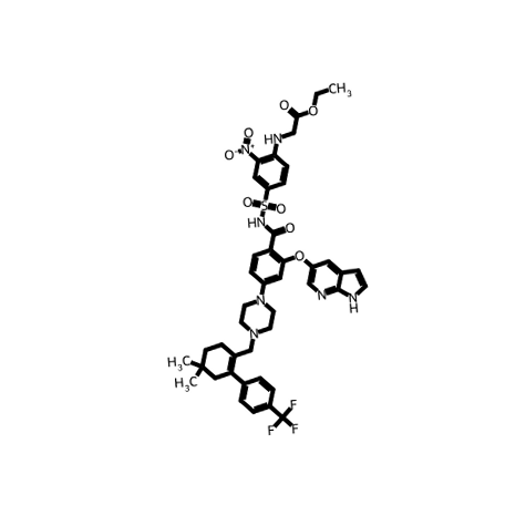 CCOC(=O)CNc1ccc(S(=O)(=O)NC(=O)c2ccc(N3CCN(CC4=C(c5ccc(C(F)(F)F)cc5)CC(C)(C)CC4)CC3)cc2Oc2cnc3[nH]ccc3c2)cc1[N+](=O)[O-]